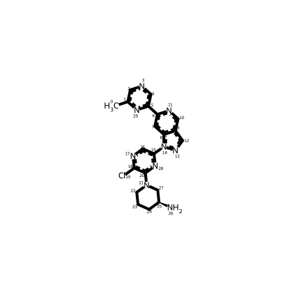 Cc1cncc(-c2cc3c(cn2)cnn3-c2cnc(Cl)c(N3CCC[C@H](N)C3)n2)n1